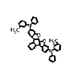 Cc1cccc(N(C2=CC3Oc4c(c5ccccc5c5c4oc4cc(N(c6ccccc6)c6cccc(C)c6)ccc45)C3C=C2)c2ccccc2)c1